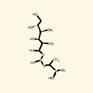 CCCCN(CCCC)C(C)OB(O)OC(O)[C@H](O)[C@@H](O)[C@H](O)[C@H](O)CO